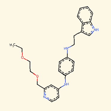 CCOCCOCc1cc(Nc2ccc(NCCc3c[nH]c4ccccc34)cc2)ccn1